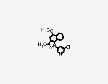 COc1cc2c(C)nn(-c3cncc(Cl)c3)c2c2ccccc12